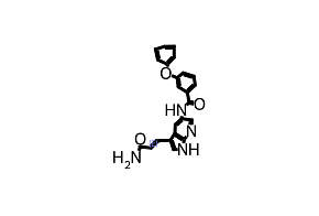 NC(=O)/C=C/c1c[nH]c2ncc(NC(=O)c3cccc(Oc4ccccc4)c3)cc12